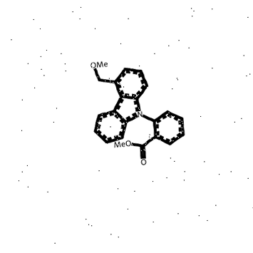 COCc1cccc2c1c1ccccc1n2-c1ccccc1C(=O)OC